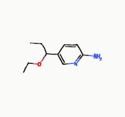 CCOC(CC)c1ccc(N)nc1